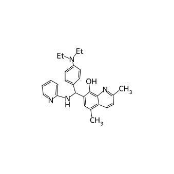 CCN(CC)c1ccc(C(Nc2ccccn2)c2cc(C)c3ccc(C)nc3c2O)cc1